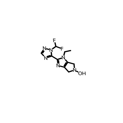 CCn1c(-c2ncnn2C(F)F)nc2c1CN(O)C2